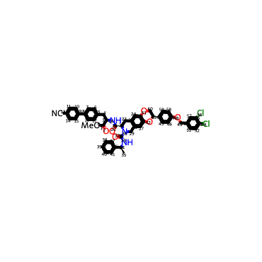 COC(=O)C(Cc1ccc(-c2ccc(C#N)cc2)cc1)NC(=O)[C@@H]1Cc2cc3c(cc2CN1C(=O)N[C@@H](C)c1ccccc1)O[C@@H](c1ccc(OCc2ccc(Cl)c(Cl)c2)cc1)CO3